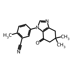 Cc1ccc(-n2cnc3c2C(=O)CC(C)(C)C3)cc1C#N